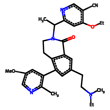 CCOc1cc(C(C)N2CCc3c(cc(CCN(C)CC)cc3-c3cc(OC)cnc3C)C2=O)ncc1C#N